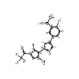 Cn1c(C(=O)C(F)(F)F)cc(Br)c1-n1cc(-c2ccc(Cl)c(C(=O)O)c2)cn1